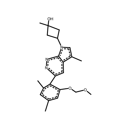 COCOc1cc(C)cc(C)c1-c1cc2c(C)cn(C3CC(C)(O)C3)c2nn1